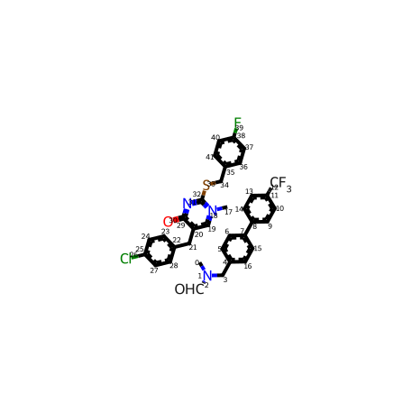 CN(C=O)Cc1ccc(-c2ccc(C(F)(F)F)cc2)cc1.Cn1cc(Cc2ccc(Cl)cc2)c(=O)nc1SCc1ccc(F)cc1